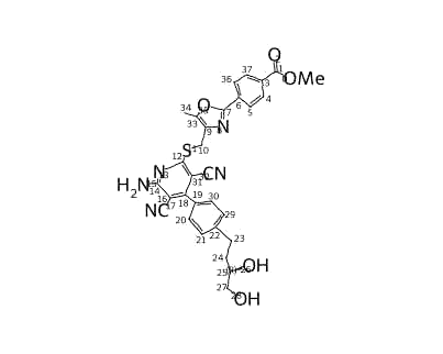 COC(=O)c1ccc(-c2nc(CSc3nc(N)c(C#N)c(-c4ccc(CC[C@@H](O)CO)cc4)c3C#N)c(C)o2)cc1